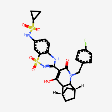 O=C1C(C2=NS(=O)(=O)c3cc(NS(=O)(=O)C4CC4)ccc3N2)=C(O)C2C([C@@H]3CC[C@H]2C3)N1Cc1ccc(F)cc1